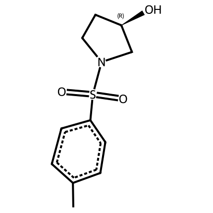 Cc1ccc(S(=O)(=O)N2CC[C@@H](O)C2)cc1